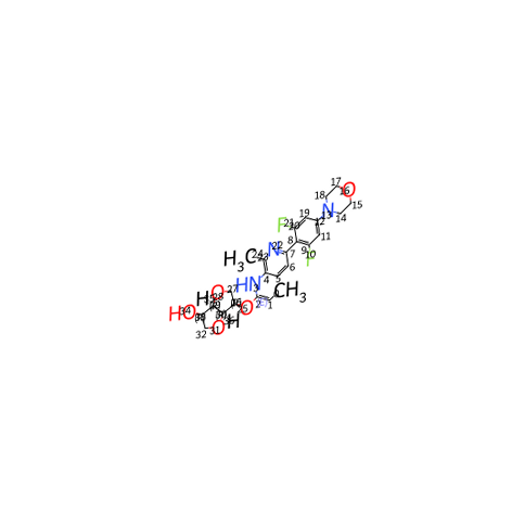 C/C=C(\Nc1ccc(-c2c(F)cc(N3CCOCC3)cc2F)nc1C)O[C@@H]1CO[C@H]2[C@@H]1OC[C@H]2O